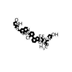 COc1nc(O[C@@H]2CCc3c(-c4cccc(Nc5nccc6cc(CN7CC8(CCC(=O)N8)C7)cnc56)c4Cl)cccc32)c(C(F)(F)F)nc1CN1CC[C@@H](O)C1